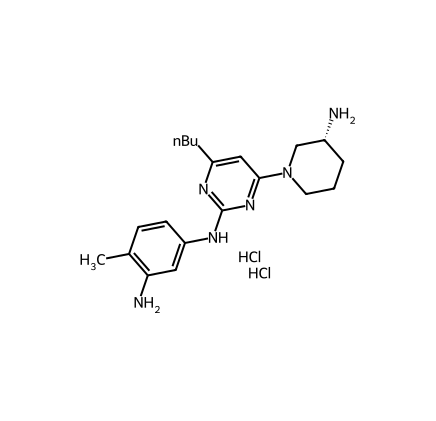 CCCCc1cc(N2CCC[C@@H](N)C2)nc(Nc2ccc(C)c(N)c2)n1.Cl.Cl